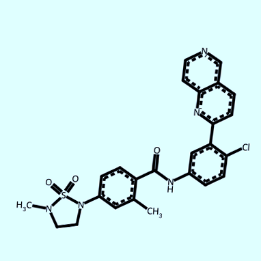 Cc1cc(N2CCN(C)S2(=O)=O)ccc1C(=O)Nc1ccc(Cl)c(-c2ccc3cnccc3n2)c1